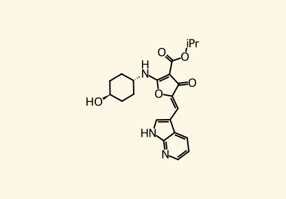 CC(C)OC(=O)C1=C(N[C@H]2CC[C@H](O)CC2)OC(=Cc2c[nH]c3ncccc23)C1=O